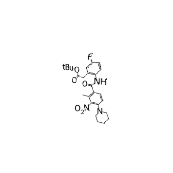 Cc1c(C(=O)Nc2ccc(F)cc2CC(=O)OC(C)(C)C)ccc(N2CCCCC2)c1[N+](=O)[O-]